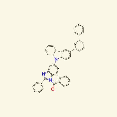 O=c1c2ccccc2c2cc(N3c4ccc(-c5cccc(-c6ccccc6)c5)cc4C4C=CC=CC43)cc3nc(-c4ccccc4)n1c32